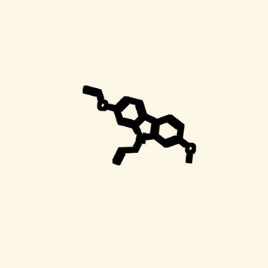 C=CCn1c2cc(OC)ccc2c2ccc(OC=C)cc21